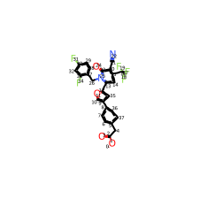 COC(=O)Cc1ccc(-c2coc(-c3cc(C(F)(F)F)c(C#N)c(=O)n3Cc3ccc(F)cc3F)c2)cc1